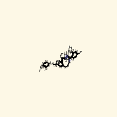 C=C1/C=C/C(c2ccc(F)cc2N)=C\CCC2C=C(COc3ccc(F)cc3)N=C12